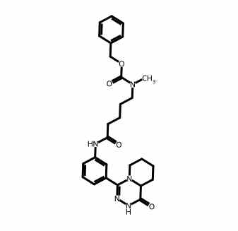 CN(CCCCC(=O)Nc1cccc(C2=NNC(=O)C3CCCCN23)c1)C(=O)OCc1ccccc1